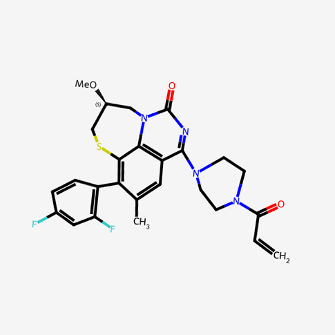 C=CC(=O)N1CCN(c2nc(=O)n3c4c(c(-c5ccc(F)cc5F)c(C)cc24)SC[C@@H](OC)C3)CC1